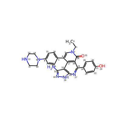 CCn1cc(-c2ccc(N3CCNCC3)cc2)c2c(c(-c3ccc(O)cc3)nc3[nH]nc(N)c32)c1=O